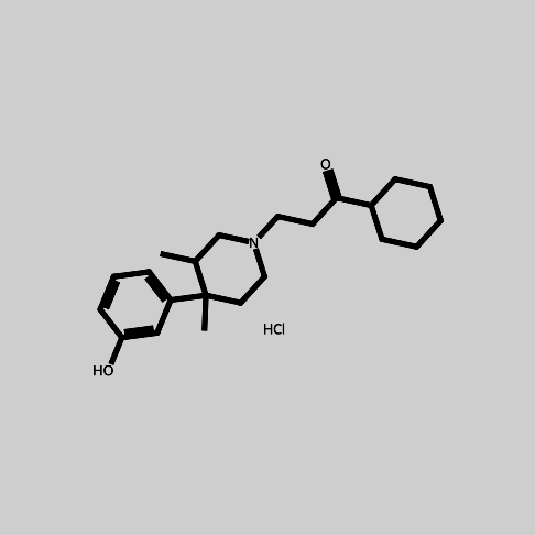 CC1CN(CCC(=O)C2CCCCC2)CCC1(C)c1cccc(O)c1.Cl